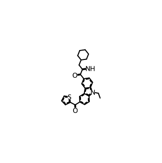 CCn1c2ccc(C(=O)C(=N)CC3CCCCC3)cc2c2cc(C(=O)c3cccs3)ccc21